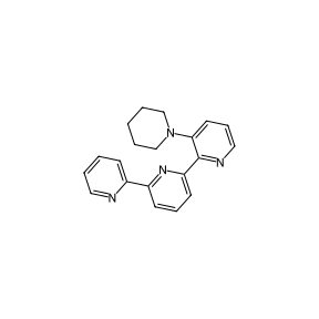 c1ccc(-c2cccc(-c3ncccc3N3CCCCC3)n2)nc1